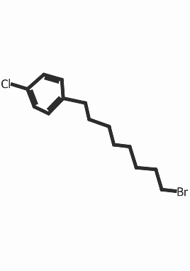 Clc1ccc(CCCCCCCCBr)cc1